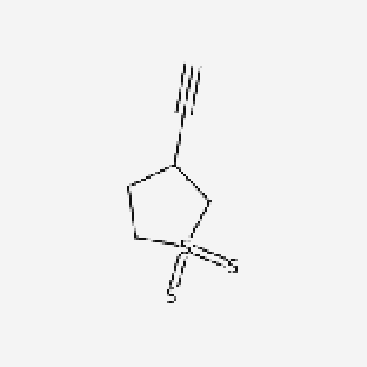 C#CC1CCS(=S)(=S)C1